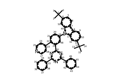 CC(C)(C)c1ccc2c3ccc(C(C)(C)C)cc3n(-c3ccc(-c4ccncc4)c(-c4nc(-c5ccccc5)nc(-c5ccccc5)n4)c3)c2c1